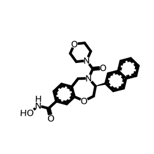 O=C(NO)c1ccc2c(c1)OC[C@H](c1ccc3ccccc3c1)N(C(=O)N1CCOCC1)C2